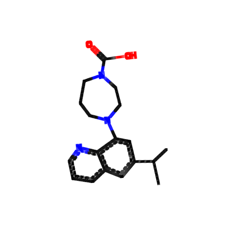 CC(C)c1cc(N2CCCN(C(=O)O)CC2)c2ncccc2c1